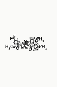 COc1cc(C(F)F)ccc1C(=O)N1Cc2nc(NC(=O)c3cnc(C)cc3-c3cc(C#N)ccc3OC)sc2C1